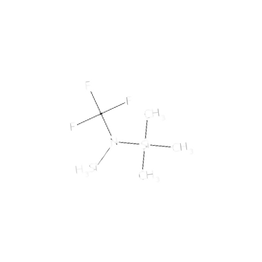 C[Si](C)(C)N([SiH3])C(F)(F)F